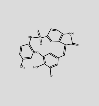 O=C1Nc2ccc(S(=O)(=O)Nc3ccc(C(F)(F)F)cc3)cc2C1=Cc1cc(O)c(O)c(Br)c1